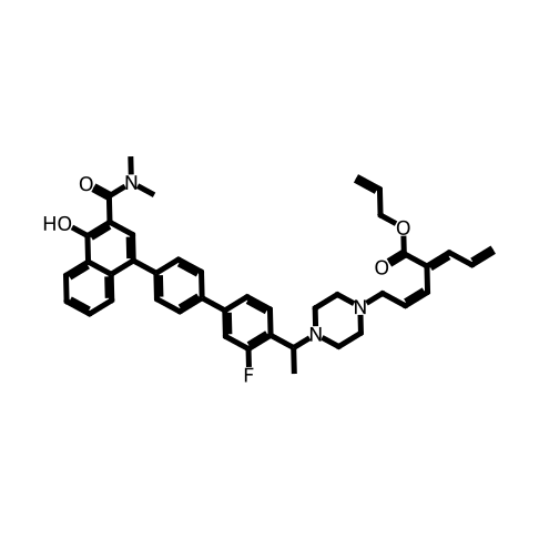 C=C/C=C(\C=C/CN1CCN(C(C)c2ccc(-c3ccc(-c4cc(C(=O)N(C)C)c(O)c5ccccc45)cc3)cc2F)CC1)C(=O)OCC=C